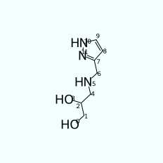 OCC(O)CNCc1cc[nH]n1